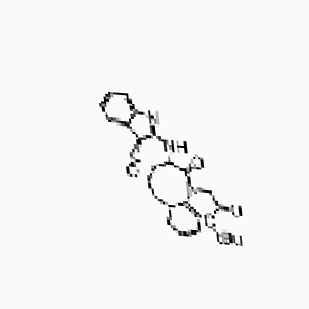 CC(C)(C)OC(=O)CN1C(=O)C(NC2=Nc3ccccc3C2=C=O)CCCC2CC=CC=C21